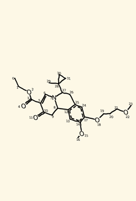 CCOC(=O)C1=CN2C(CC1=O)c1cc(OC)c(OCCCOC)cc1CC2C1(C)CC1